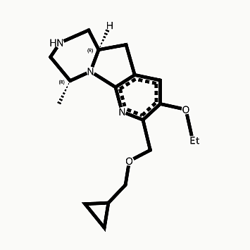 CCOc1cc2c(nc1COCC1CC1)N1[C@@H](CNC[C@H]1C)C2